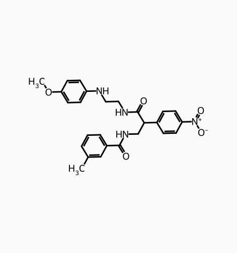 COc1ccc(NCCNC(=O)C(CNC(=O)c2cccc(C)c2)c2ccc([N+](=O)[O-])cc2)cc1